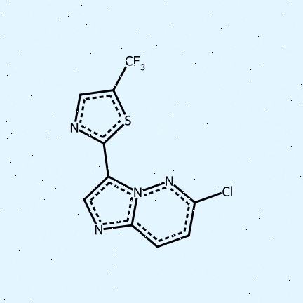 FC(F)(F)c1cnc(-c2cnc3ccc(Cl)nn23)s1